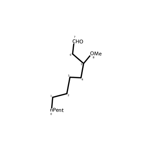 CCCCCCCCCC(CC=O)OC